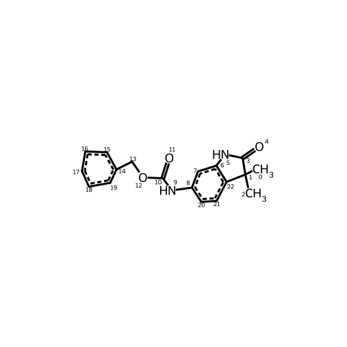 CC1(C)C(=O)Nc2cc(NC(=O)OCc3ccccc3)ccc21